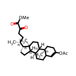 COC(=O)C(=O)CC[C@@H](C)[C@H]1CC[C@H]2[C@@H]3CCC4C=C(OC(C)=O)CC[C@]4(C)[C@H]3CC[C@]12C